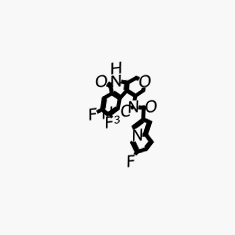 CN(C(=O)c1cc2ccc(F)cn2c1)C1COCc2[nH]c(=O)c3cc(F)c(F)cc3c21